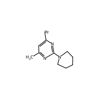 Cc1cc(C(C)C)nc(N2CCCCC2)n1